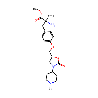 CC(C)N1CCC(N2CC(COc3ccc(CC(N)(C(=O)O)C(=O)OC(C)(C)C)cc3)OC2=O)CC1